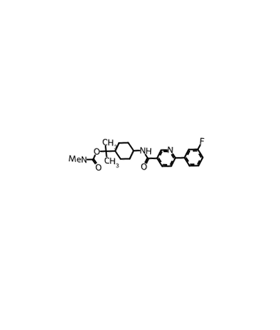 CNC(=O)OC(C)(C)C1CCC(NC(=O)c2ccc(-c3cccc(F)c3)nc2)CC1